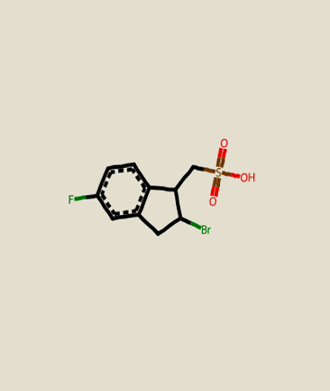 O=S(=O)(O)CC1c2ccc(F)cc2CC1Br